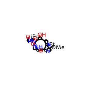 CCn1c(-c2cnccc2COC)c2c3cc(ccc31)-c1cc(O)cc(c1)C[C@H](NC(=O)[C@H](C(C)C)N1CCCC1=O)C(=O)N1CCCC(C=O)(COCC(C)(C)C2)N1